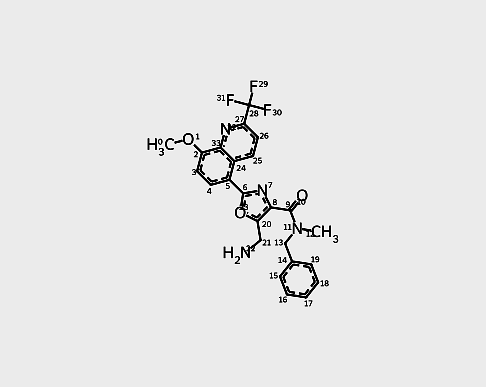 COc1ccc(-c2nc(C(=O)N(C)Cc3ccccc3)c(CN)o2)c2ccc(C(F)(F)F)nc12